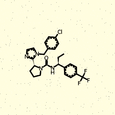 CC[C@H](NC(=O)N1CCC[C@@H]1c1nccn1Cc1ccc(Cl)cc1)c1ccc(C(F)(F)F)cc1